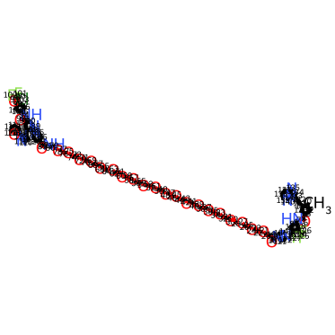 Cc1ccc(C(=O)Nc2ccc(CN3CCN(C(=O)CCOCCOCCOCCOCCOCCOCCOCCOCCOCCOCCOCCOCCOCCOCCOCCOCCOCCOCCOCCOCCNC(=O)C4CCN(c5ncc(C(=O)Nc6ccc(OC(F)(F)Cl)cc6)cc5-c5ccnn5C5CCCCO5)CC4)CC3)c(C(F)(F)F)c2)cc1C#Cc1cnc2cccnn12